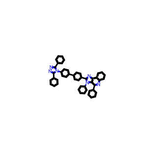 c1ccc(-c2nc3ccccc3c3nc(-c4ccc(-c5ccc(-n6c(-c7ccccc7)nnc6-c6ccccc6)cc5)cc4)n(-c4ccccc4)c23)cc1